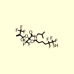 C=C(C(=O)OC(OCCCCC(F)(F)C(F)(F)S)(C(=O)NCC(C)C)C(F)(F)F)C(F)(F)F